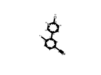 N#Cc1ccc(I)c(-c2ccc(Cl)nc2)c1